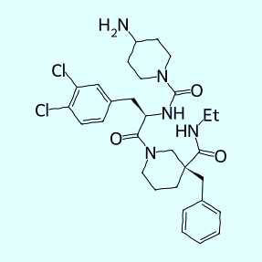 CCNC(=O)[C@]1(Cc2ccccc2)CCCN(C(=O)[C@@H](Cc2ccc(Cl)c(Cl)c2)NC(=O)N2CCC(N)CC2)C1